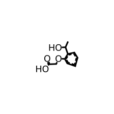 CC(O)c1ccccc1OCC(=O)O